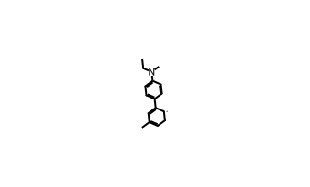 CCN(C)c1ccc(C2=CC(C)=CC[CH]2)cc1